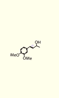 COc1ccc(/C=C/C(C)O)cc1OC